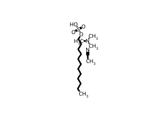 CC#N.CCCCCCCCCCCCOS(=O)(=O)O.CN(C)C